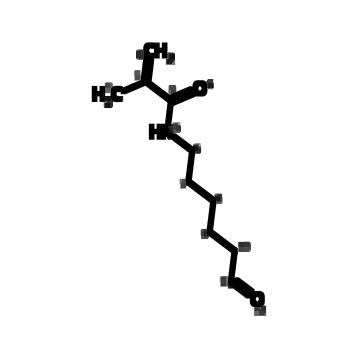 C=C(C)C(=O)NCCCCC[C]=O